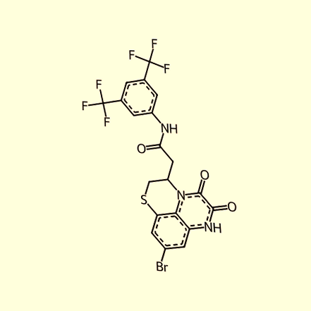 O=C(CC1CSc2cc(Br)cc3[nH]c(=O)c(=O)n1c23)Nc1cc(C(F)(F)F)cc(C(F)(F)F)c1